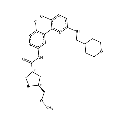 COC[C@@H]1C[C@@H](C(=O)Nc2cc(-c3nc(NCC4CCOCC4)ccc3Cl)c(Cl)cn2)CN1